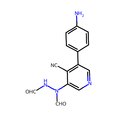 N#Cc1c(-c2ccc(N)cc2)cncc1N(C=O)NC=O